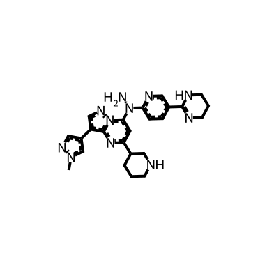 Cn1cc(-c2cnn3c(N(N)c4ccc(C5=NCCCN5)cn4)cc(C4CCCNC4)nc23)cn1